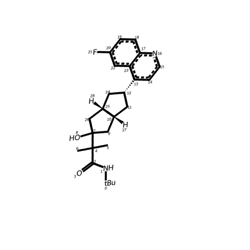 CC(C)(C)NC(=O)C(C)(C)C1(O)C[C@H]2C[C@@H](c3ccnc4ccc(F)cc34)C[C@H]2C1